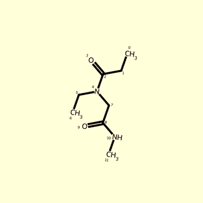 CCC(=O)N(CC)CC(=O)NC